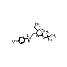 CCC(C)[C@@H](COS(=O)(=O)c1ccc(C)cc1)NC(=O)OC(C)(C)C